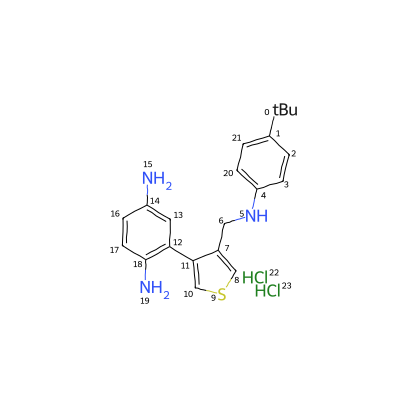 CC(C)(C)c1ccc(NCc2cscc2-c2cc(N)ccc2N)cc1.Cl.Cl